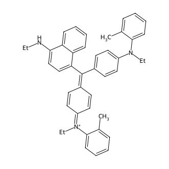 CCNc1ccc(C(=C2C=CC(=[N+](CC)c3ccccc3C)C=C2)c2ccc(N(CC)c3ccccc3C)cc2)c2ccccc12